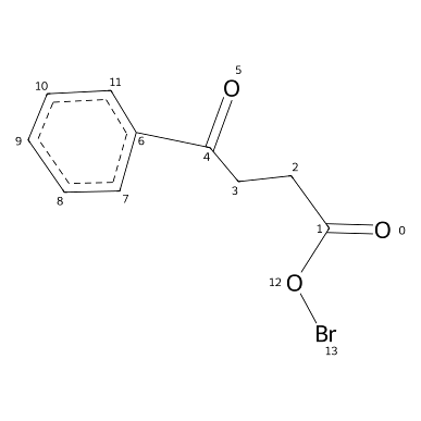 O=C(CCC(=O)c1ccccc1)OBr